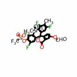 Cc1c(F)cc2c(c1F)[Si](C)(C)c1c(cc(F)c(OS(=O)(=O)C(F)(F)F)c1F)C21OC(=O)c2cc(OC=O)ccc21